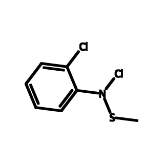 CSN(Cl)c1ccccc1Cl